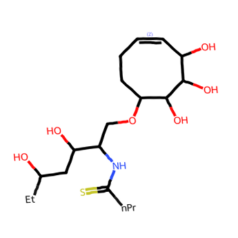 CCCC(=S)NC(COC1CC/C=C\C(O)C(O)C1O)C(O)CC(O)CC